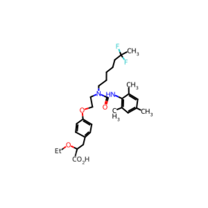 CCOC(Cc1ccc(OCCN(CCCCCC(C)(F)F)C(=O)Nc2c(C)cc(C)cc2C)cc1)C(=O)O